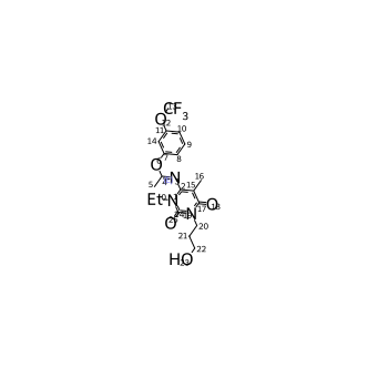 CCn1c(/N=C(\C)Oc2cccc(OC(F)(F)F)c2)c(C)c(=O)n(CCCO)c1=O